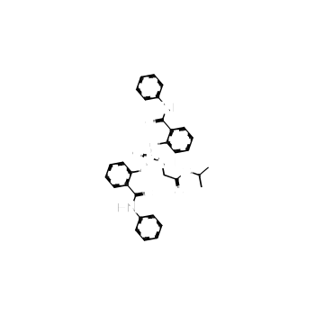 CC(C)OC(=O)[C@H](C)NP(=O)(Oc1ccccc1C(=O)Nc1ccccc1)Oc1ccccc1C(=O)Nc1ccccc1